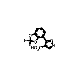 O=C(O)c1cnoc1-c1cccc2c1OC(F)(F)O2